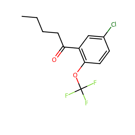 CCCCC(=O)c1cc(Cl)ccc1OC(F)(F)F